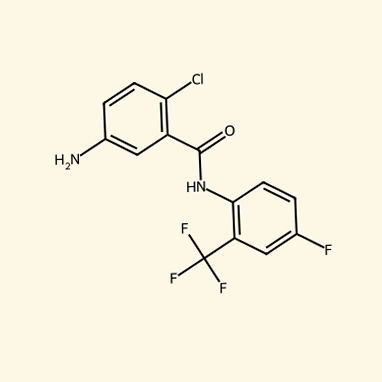 Nc1ccc(Cl)c(C(=O)Nc2ccc(F)cc2C(F)(F)F)c1